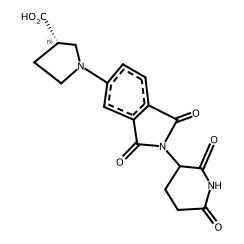 O=C1CCC(N2C(=O)c3ccc(N4CC[C@H](C(=O)O)C4)cc3C2=O)C(=O)N1